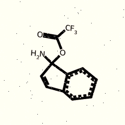 NC1(OC(=O)C(F)(F)F)C=Cc2ccccc21